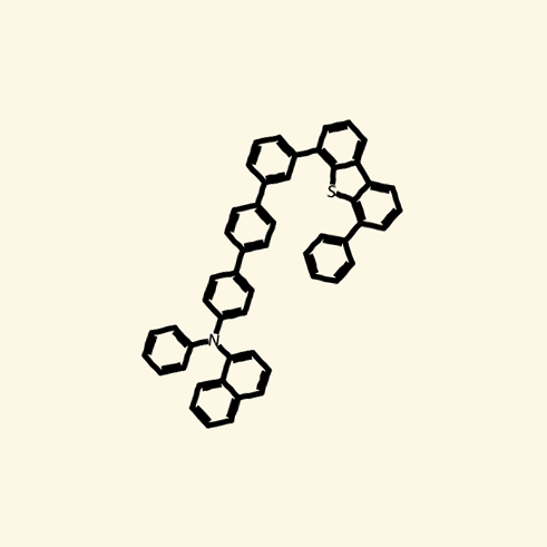 c1ccc(-c2cccc3c2sc2c(-c4cccc(-c5ccc(-c6ccc(N(c7ccccc7)c7cccc8ccccc78)cc6)cc5)c4)cccc23)cc1